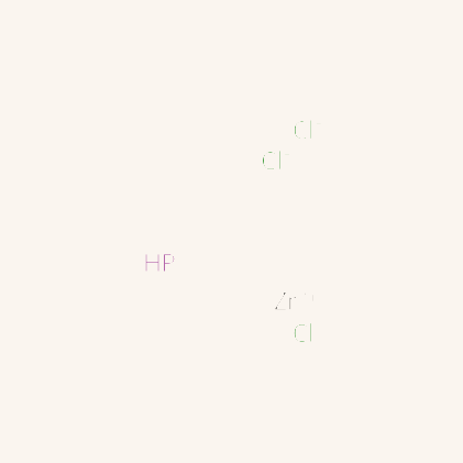 [Cl-].[Cl-].[Cl-].[Zr+3][c]1ccc[pH]1